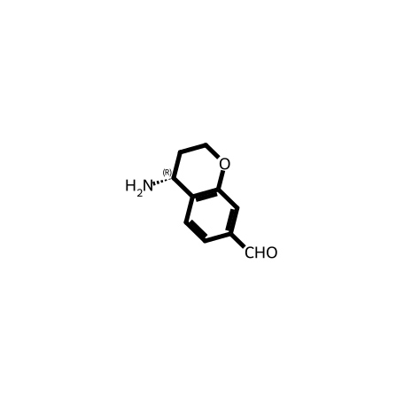 N[C@@H]1CCOc2cc(C=O)ccc21